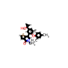 Cc1cc(C)c(Oc2ccc(C3(O)CC3)cc2-c2cn(C)c(=O)c3ccsc23)c(C)c1